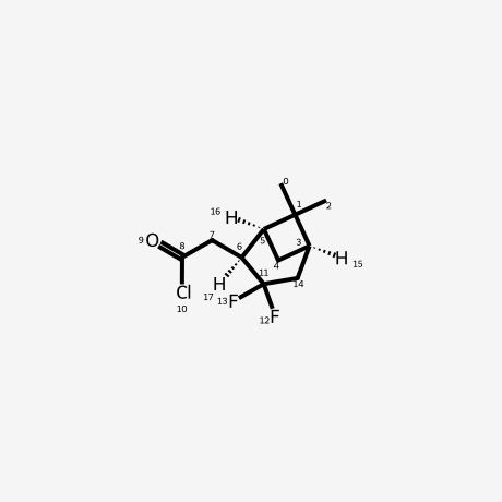 CC1(C)[C@@H]2C[C@H]1[C@H](CC(=O)Cl)C(F)(F)C2